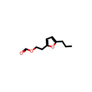 CCCc1ccc(CCOC=O)o1